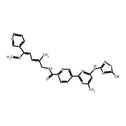 C=N/C(=C\C=C(/C)CNC(=O)c1ccc(-c2nc(C)cc(Nc3nsc(C#N)n3)n2)cn1)c1cccnc1